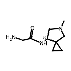 CN1C[C@H](NC(=O)CN)C2(CC2)C1